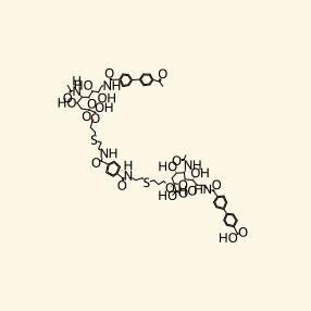 CC(=O)N[C@H]1[C@H]([C@H](O)[C@H](O)CNC(=O)c2ccc(-c3ccc(C(=O)O)cc3)cc2)O[C@@](OCCCSCCNC(=O)c2ccc(C(=O)NCCSCCCO[C@]3(C(=O)O)C[C@H](O)[C@@H](NC(C)=O)[C@H]([C@H](O)[C@@H](O)CNC(=O)c4ccc(-c5ccc(C(C)=O)cc5)cc4)O3)cc2)(C(=O)O)C[C@@H]1O